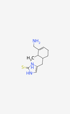 CC1C(CN)=CCCC1Cc1c[nH]c(=S)[nH]1